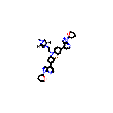 CN1C[C@H]2C[C@@H]1CN2CCN1c2ccc(-c3ccnc4c3cnn4C3CCCCO3)cc2Sc2cc(-c3ccnc4c3cnn4C3CCCCO3)ccc21